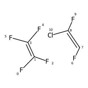 FC(F)=C(F)F.FC=C(F)Cl